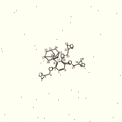 c1cc(OCC2CO2)c(C23CC4CC(CC(C4)C2)C3)c(OCC2CO2)c1OCC1CO1